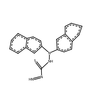 N=NC(=S)NN(c1ccc2ccccc2c1)c1ccc2ccccc2c1